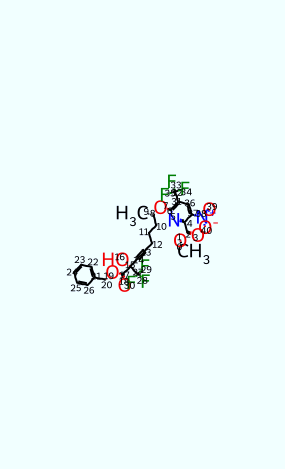 COC(=O)c1nc(O[C@@H](C)CCCC#CC(O)(C(=O)OCc2ccccc2)C(F)(F)F)c(C(F)(F)F)cc1[N+](=O)[O-]